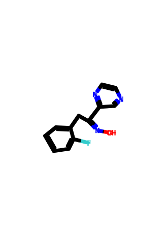 ON=C(Cc1ccccc1F)c1cnccn1